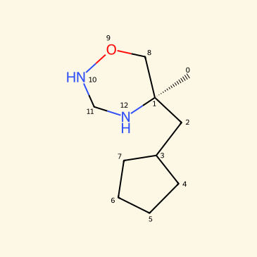 C[C@@]1(CC2CCCC2)CONCN1